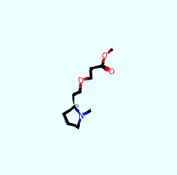 COC(=O)CCOCC[C@@H]1CCCN1C